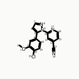 COc1cc(-c2ccnn2-c2cc(C#N)ccn2)ccc1Cl